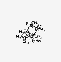 CC[C@H]1c2cc3[nH]c4c(c5nc(cc6[nH]c(cc(n2)[C@@H]1C)c(C(C)=O)c6C)[C@@H](C)[C@@H]5CCC(=O)OC)C(=O)N(Cc1cc(C)cc(C(F)(F)F)c1)C(=O)c4c3C